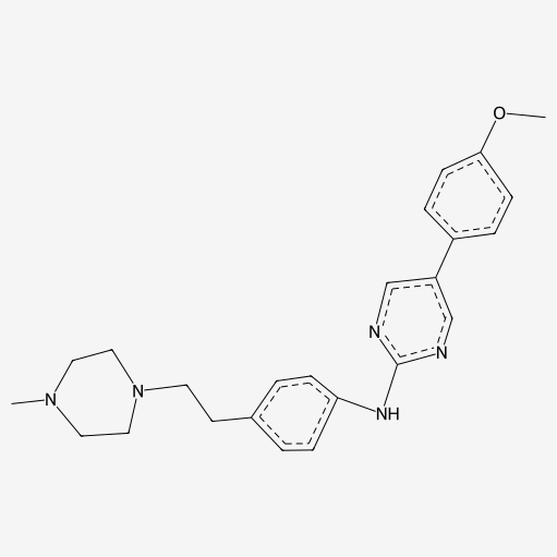 COc1ccc(-c2cnc(Nc3ccc(CCN4CCN(C)CC4)cc3)nc2)cc1